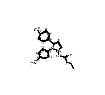 CCCC(=O)ON1C=CC(c2ccc(Cl)cc2)N1c1ccc(O)cc1